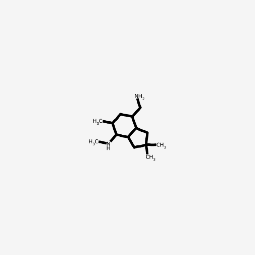 CNC1C(C)CC(CN)C2CC(C)(C)CC21